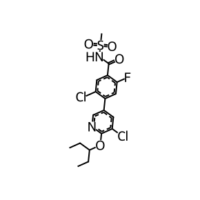 CCC(CC)Oc1ncc(-c2cc(F)c(C(=O)NS(C)(=O)=O)cc2Cl)cc1Cl